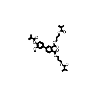 C=C(C)C(=O)OCCCOC(=O)c1ccc(-c2ccc(OC(=O)C(=C)C)c(OC)c2)cc1C(=O)OCCCOC(=O)C(=C)C